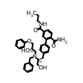 CCCNC(=O)c1ccc(C(N)=O)c(-c2ccc(C[C@@H](CO)N(Cc3ccccc3)C[C@H](O)COc3ccccc3)cc2)c1